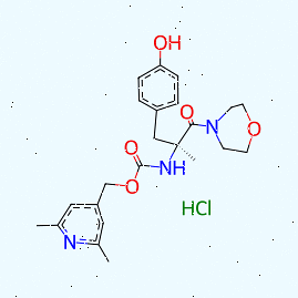 Cc1cc(COC(=O)N[C@@](C)(Cc2ccc(O)cc2)C(=O)N2CCOCC2)cc(C)n1.Cl